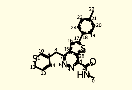 CNC(=O)c1nnc(CC2=CSCC=C2)c2cc(-c3ccc(C)cc3)sc12